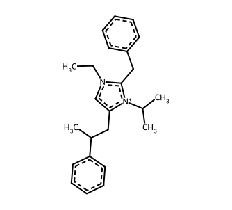 CCn1cc(CC(C)c2ccccc2)[n+](C(C)C)c1Cc1ccccc1